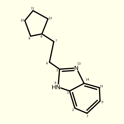 c1ccc2[nH]c(CCC3CCCC3)nc2c1